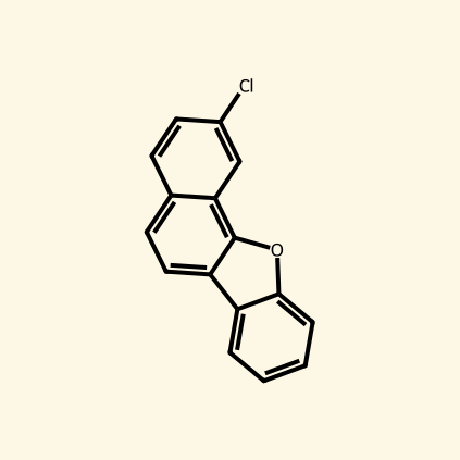 Clc1ccc2ccc3c4ccccc4oc3c2c1